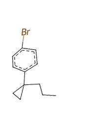 CCCC1(c2ccc(Br)cc2)CC1